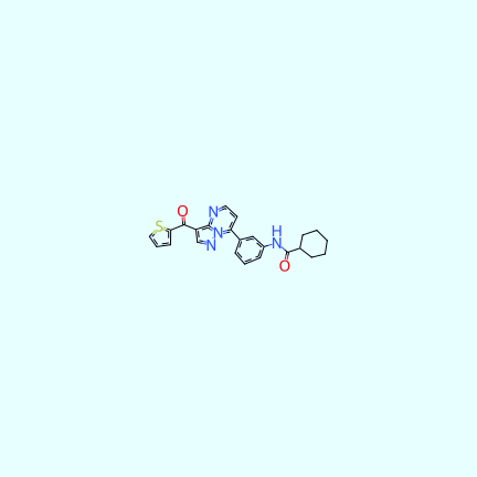 O=C(c1cccs1)c1cnn2c(-c3cccc(NC(=O)C4CCCCC4)c3)ccnc12